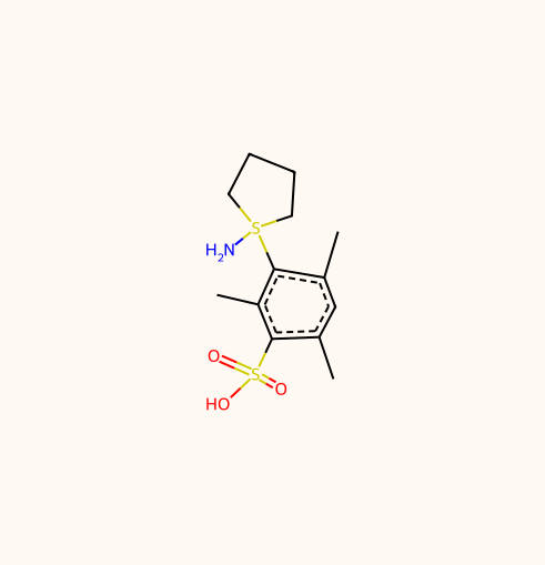 Cc1cc(C)c(S(=O)(=O)O)c(C)c1S1(N)CCCC1